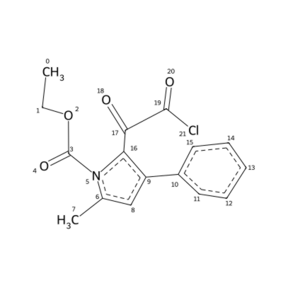 CCOC(=O)n1c(C)cc(-c2ccccc2)c1C(=O)C(=O)Cl